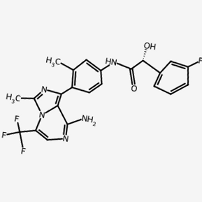 Cc1cc(NC(=O)[C@H](O)c2cccc(F)c2)ccc1-c1nc(C)n2c(C(F)(F)F)cnc(N)c12